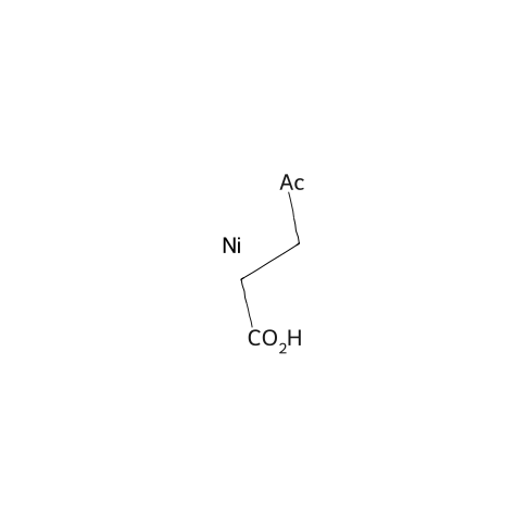 CC(=O)CCC(=O)O.[Ni]